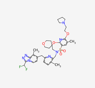 Cc1ccc(Cc2ccn3c(C(F)F)nnc3c2C)nc1CN1CC2(CCOCC2)Oc2nc(OCCN3CCCC3)c(C)cc2S1(=O)=O